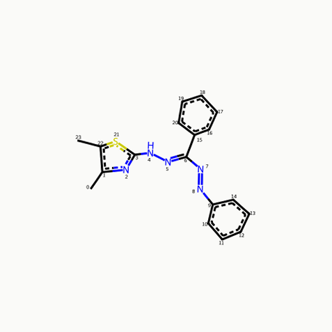 Cc1nc(NN=C(N=Nc2ccccc2)c2ccccc2)sc1C